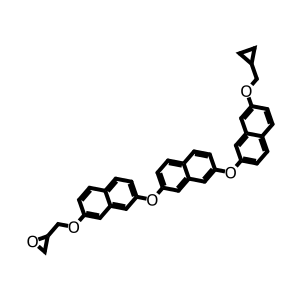 c1cc2ccc(Oc3ccc4ccc(Oc5ccc6ccc(OCC7CO7)cc6c5)cc4c3)cc2cc1OCC1CC1